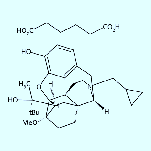 CO[C@@]12CC[C@@]3(C[C@@H]1[C@](C)(O)C(C)(C)C)[C@H]1Cc4ccc(O)c5c4[C@@]3(CCN1CC1CC1)[C@H]2O5.O=C(O)CCCCC(=O)O